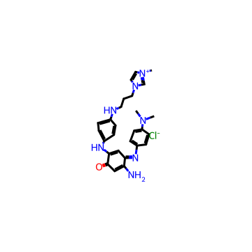 CN(C)c1ccc(/N=C2\C=C(Nc3ccc(NCCCn4cc[n+](C)c4)cc3)C(=O)C=C2N)cc1.[Cl-]